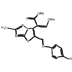 COC=C(C(=O)OC)c1c(COc2ccc(Cl)cc2)sc2nc(C)nn12